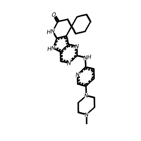 CN1CCN(c2ccc(Nc3ncc4[nH]c5c(c4n3)C3(CCCCC3)CC(=O)N5)nc2)CC1